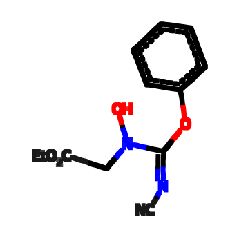 CCOC(=O)CN(O)C(=NC#N)Oc1ccccc1